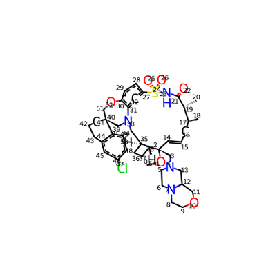 CO[C@@]1(CN2CCN3CCOCC3C2)/C=C/C[C@H](C)[C@@H](C)C(=O)NS(=O)(=O)c2ccc3c(c2)N(C[C@@H]2CC[C@H]21)C[C@@]1(CCCc2cc(Cl)ccc21)CO3